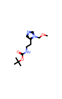 COCn1cncc1CCNC(=O)OC(C)(C)C